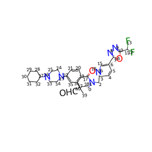 CN(Cc1ccc(-c2nnc(C(F)F)o2)cn1)C(=O)c1ccc(N2CCN(C3CCCCC3)CC2)cc1C(C)(C)C=O